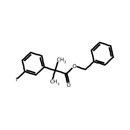 CC(C)(C(=O)OCc1ccccc1)c1cccc(I)c1